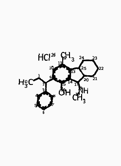 CCC(c1ccccc1)c1cc(C)c2c(c1O)C(NC)C1CCCCC21.Cl